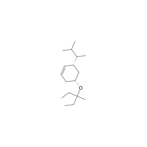 CCC(C)(CC)O[C@@H]1CC=C[C@H](C(C)C(C)C)C1